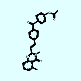 CC(=O)Oc1ccc(C(=O)c2ccc(C=Cc3nc4cccc(C)c4c(=O)n3C)cc2)cc1